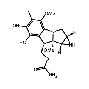 COc1c(C)c(N=O)c(O)c2c1N1C[C@@H]3N[C@@H]3[C@@]1(OC)[C@H]2COC(N)=O